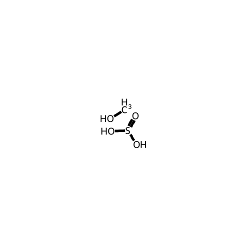 CO.O=S(O)O